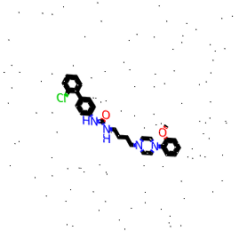 COc1ccccc1N1CCN(CCCCNC(=O)Nc2ccc(-c3ccccc3Cl)cc2)CC1